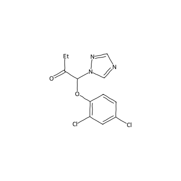 CCC(=O)C(Oc1ccc(Cl)cc1Cl)n1cncn1